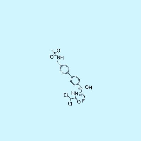 CS(=O)(=O)NCc1ccc(-c2ccc([C@H](O)[C@@H](CF)NC(=O)C(Cl)Cl)cc2)cc1